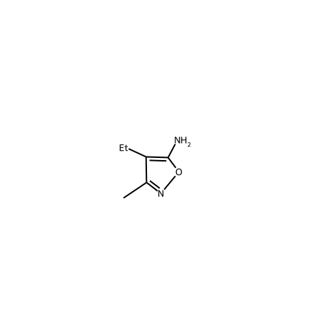 CCc1c(C)noc1N